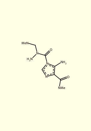 CNCN(N)C(=O)n1cnc(C(=O)NC)c1N